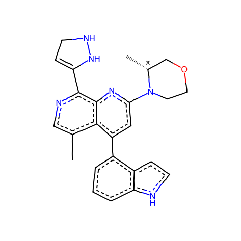 Cc1cnc(C2=CCNN2)c2nc(N3CCOC[C@H]3C)cc(-c3cccc4[nH]ccc34)c12